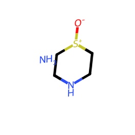 N.[O-][S+]1CCNCC1